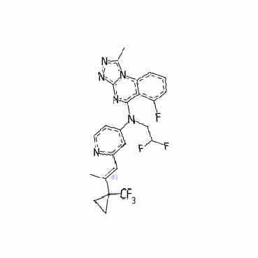 C/C(=C\c1cc(N(CC(F)F)c2nc3nnc(C)n3c3cccc(F)c23)ccn1)C1(C(F)(F)F)CC1